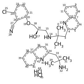 CC(C)(Cc1ccc2ccccc2n1)NC[C@@H](O)COc1cccc(Cl)c1C#N.CC(C)(N)Cc1ccc2ccccc2n1.Cl.Cl